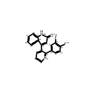 O=c1cc(-c2cccnc2-c2ccc(F)c(F)c2)c2ccccc2[nH]1